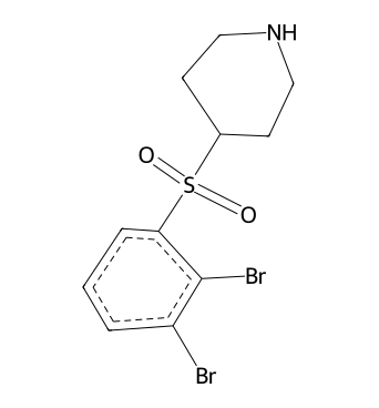 O=S(=O)(c1cccc(Br)c1Br)C1CCNCC1